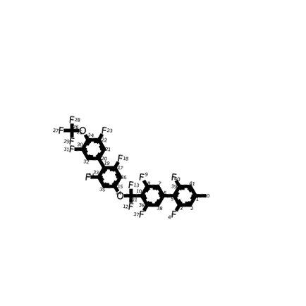 Cc1cc(F)c(-c2cc(F)c(C(F)(F)Oc3cc(F)c(-c4cc(F)c(OC(F)(F)F)c(F)c4)c(F)c3)c(F)c2)c(F)c1